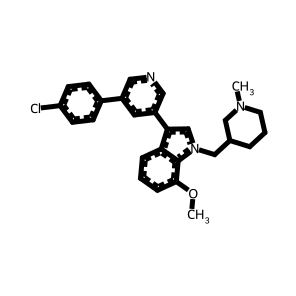 COc1cccc2c(-c3cncc(-c4ccc(Cl)cc4)c3)cn(CC3CCCN(C)C3)c12